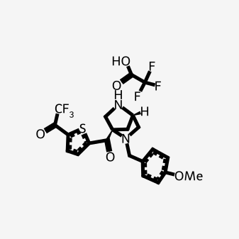 COc1ccc(CN2C[C@@H]3C[C@@]2(C(=O)c2ccc(C(=O)C(F)(F)F)s2)CN3)cc1.O=C(O)C(F)(F)F